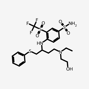 CCN(CCO)CCC(CSc1ccccc1)Nc1ccc(S(N)(=O)=O)cc1S(=O)(=O)C(F)(F)F